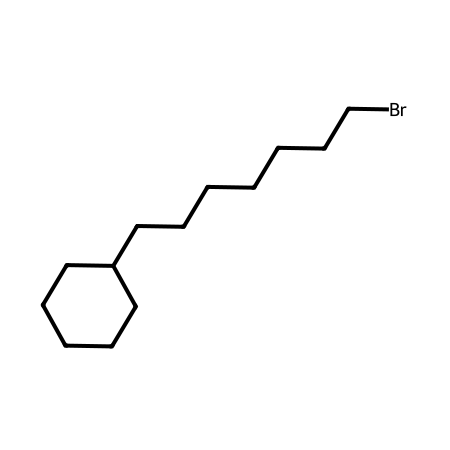 BrCCCCCCCC1CCCCC1